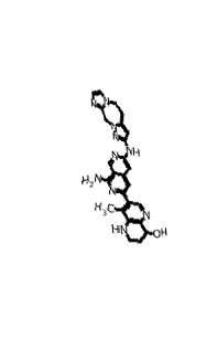 Cc1c(-c2cc3cc(Nc4cc5n(n4)Cc4nccn4CC5)ncc3c(N)n2)cnc2c1NCCC2O